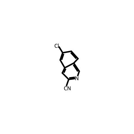 N#Cc1cc2cc(Cl)ccc2cn1